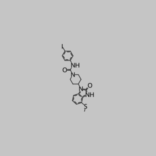 CSc1cccc2c1[nH]c(=O)n2C1CCN(C(=O)Nc2ccc(I)cc2)CC1